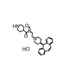 Cl.O=CN(CCN1CCC(=C2c3ccccc3C=Cc3ccccc32)CC1)C(=O)C1CCNCC1